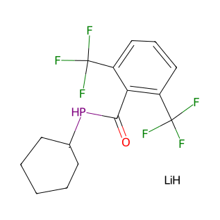 O=C(P[C]1CCCCC1)c1c(C(F)(F)F)cccc1C(F)(F)F.[LiH]